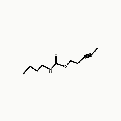 CCCCNC(=O)OCCC#CI